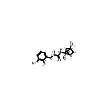 N#Cc1cccc(CNC(=O)N[C@@H]2CC3(C(F)(F)F)CC2C3)c1F